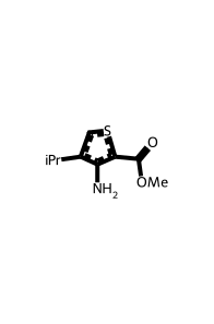 COC(=O)c1scc(C(C)C)c1N